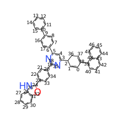 C1=CC(c2cc(-c3ccc(-c4ccccc4)cc3)nc(-c3ccc(C4Nc5ccccc5O4)cc3)n2)CC=C1c1cccc2ccccc12